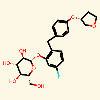 OC[C@H]1O[C@@H](Oc2cc(F)ccc2Cc2ccc(O[C@@H]3CCOC3)cc2)[C@H](O)[C@@H](O)[C@@H]1O